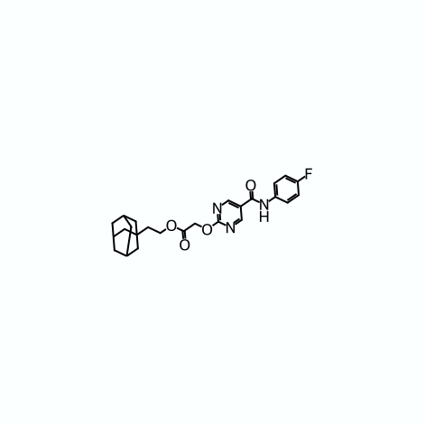 O=C(COc1ncc(C(=O)Nc2ccc(F)cc2)cn1)OCCC12CC3CC(CC(C3)C1)C2